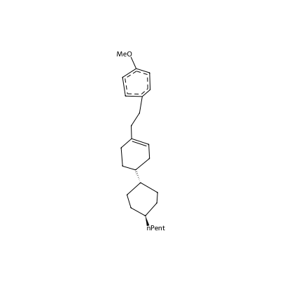 CCCCC[C@H]1CC[C@H](C2CC=C(CCc3ccc(OC)cc3)CC2)CC1